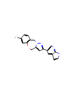 CC(=O)Nc1ccc2c(c1)OCc1cc(-c3cnc4[nH]ccc4c3)nn1C2